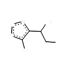 CCC(C)c1nonc1C